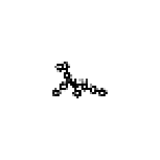 C=C/C(=C\C(=C\c1ccc(-c2ccc(-c3ccccc3)cc2)cc1)c1ccccc1)N(c1ccc(-c2ccccc2)cc1)c1ccc(-c2cccc3ccccc23)cc1